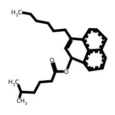 CCCCCCC1=CC(OC(=O)CCCC(C)C)c2cccc3cccc1c23